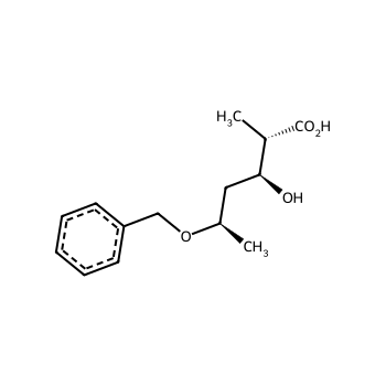 C[C@H](C[C@H](O)[C@H](C)C(=O)O)OCc1ccccc1